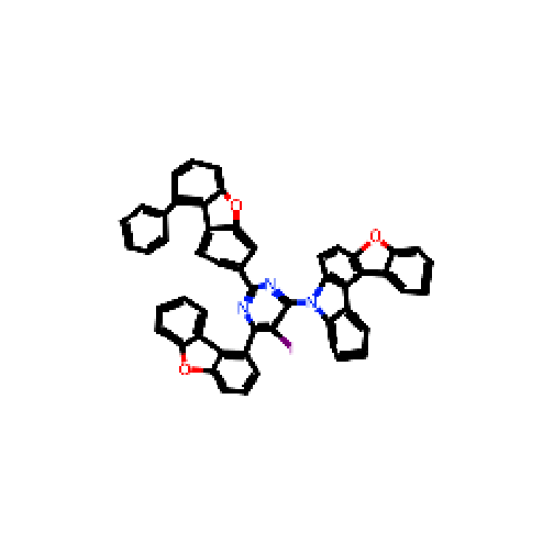 Ic1c(-c2cccc3oc4ccccc4c23)nc(-c2ccc3c(c2)oc2cccc(-c4ccccc4)c23)nc1-n1c2ccccc2c2c3c(ccc21)oc1ccccc13